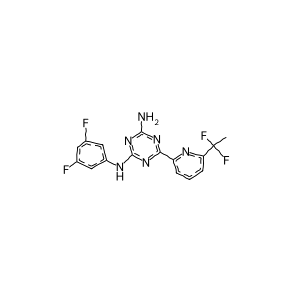 CC(F)(F)c1cccc(-c2nc(N)nc(Nc3cc(F)cc(F)c3)n2)n1